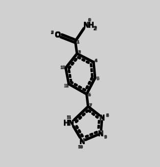 NC(=O)c1ccc(-c2nnn[nH]2)cc1